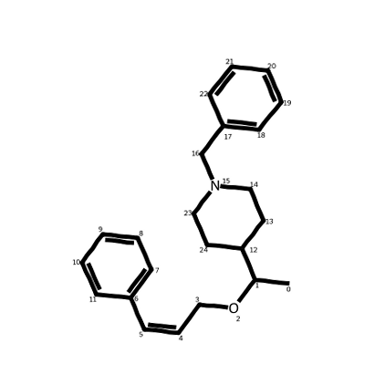 CC(OC/C=C\c1ccccc1)C1CCN(Cc2ccccc2)CC1